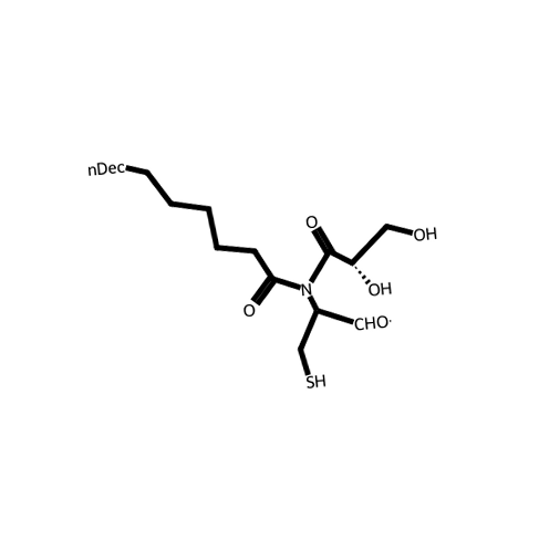 CCCCCCCCCCCCCCCC(=O)N(C(=O)[C@@H](O)CO)C([C]=O)CS